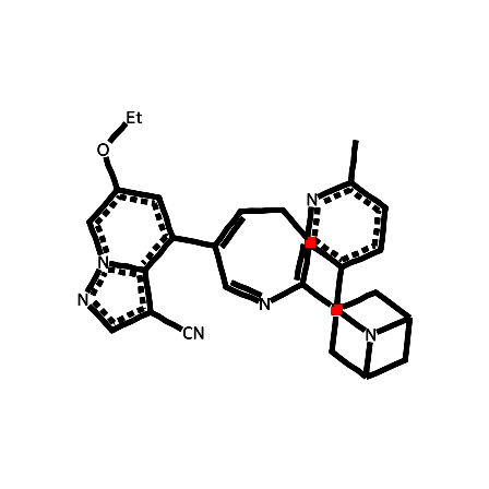 CCOc1cc(C2=CCC=C(N3CC4CC(C3)N4Cc3ccc(C)nc3)N=C2)c2c(C#N)cnn2c1